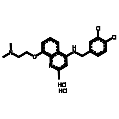 Cc1cc(NCc2ccc(Cl)c(Cl)c2)c2cccc(OCCN(C)C)c2n1.Cl.Cl